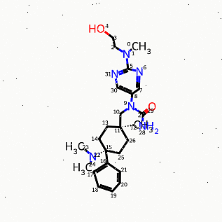 CN(CCO)c1ncc(N(C[C@]2(C)CC[C@@](c3ccccc3)(N(C)C)CC2)C(N)=O)cn1